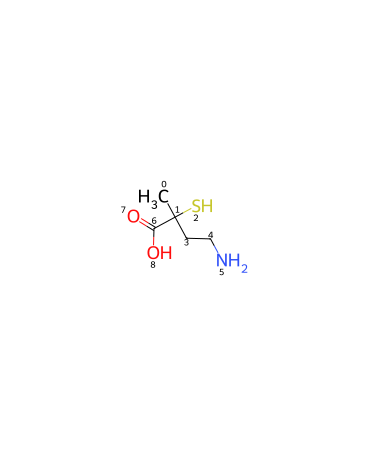 CC(S)(CCN)C(=O)O